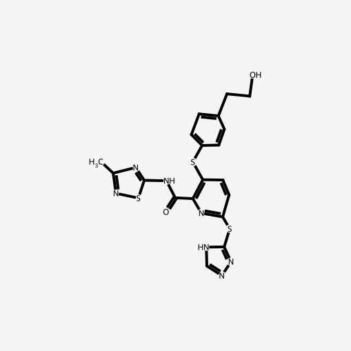 Cc1nsc(NC(=O)c2nc(Sc3nnc[nH]3)ccc2Sc2ccc(CCO)cc2)n1